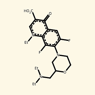 CCN(CC)CC1CN(c2c(F)cc3c(=O)c(C(=O)O)cn(CC)c3c2F)CCO1